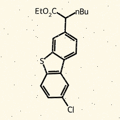 CCCCC(C(=O)OCC)c1ccc2c(c1)sc1ccc(Cl)cc12